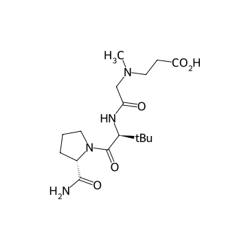 CN(CCC(=O)O)CC(=O)N[C@H](C(=O)N1CCC[C@H]1C(N)=O)C(C)(C)C